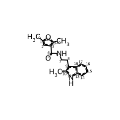 Cc1cc(C(=O)NCCc2c(C)[nH]c3ccccc23)c(C)o1